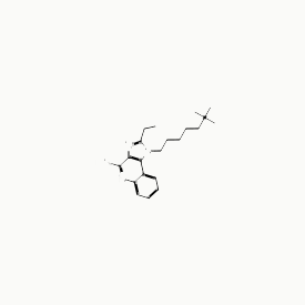 CCc1nc2c(N)nc3ccccc3c2n1CCCCCC(C)(C)C